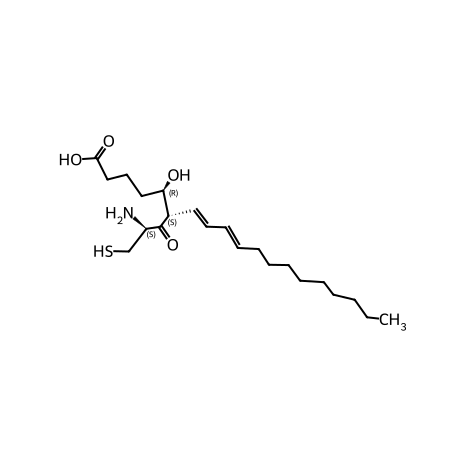 CCCCCCCCCC=CC=C[C@H](C(=O)[C@H](N)CS)[C@H](O)CCCC(=O)O